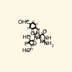 Nc1nc2c(c(=O)[nH]1)n(Cc1ccc(C=O)cc1)c(=O)n2[C@@H]1O[C@H](CO)[C@@H](F)[C@H]1O